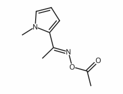 CC(=O)ON=C(C)c1cccn1C